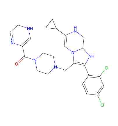 O=C(C1=CNCC=N1)N1CCN(CC2=C(c3ccc(Cl)cc3Cl)NC3CNC(C4CC4)=CN23)CC1